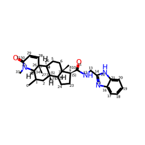 CC1C[C@@H]2[C@H](CC[C@]3(C)[C@@H](C(=O)NCc4nc5ccccc5[nH]4)CC[C@@H]23)[C@@]2(C)C=CC(=O)N(C)[C@H]12